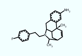 CC1C2C=C[C@@]3(C)c4cc(N)ccc4CC(C3C2)N1CCc1ccc(F)cc1